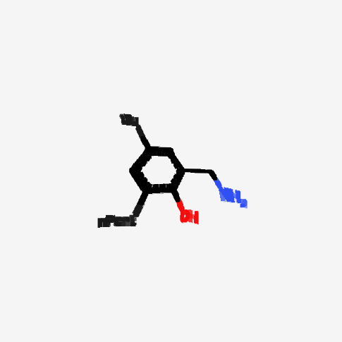 CCCCCc1cc(C(C)(C)C)cc(CN)c1O